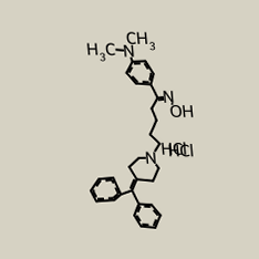 CN(C)c1ccc(C(CCCCN2CCC(=C(c3ccccc3)c3ccccc3)CC2)=NO)cc1.Cl.Cl